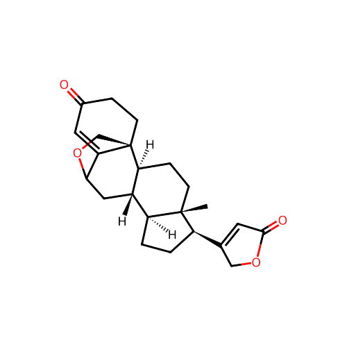 C[C@]12CC[C@H]3[C@@H](CC4OC[C@@]35CCC(=O)C=C45)[C@@H]1CC[C@@H]2C1=CC(=O)OC1